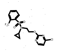 O=S(=O)(c1ccccc1C(F)(F)F)N(CCOc1nccc(Cl)n1)C1CC1